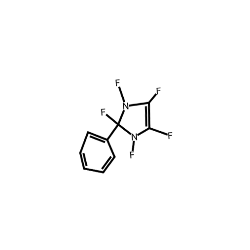 FC1=C(F)N(F)C(F)(c2ccccc2)N1F